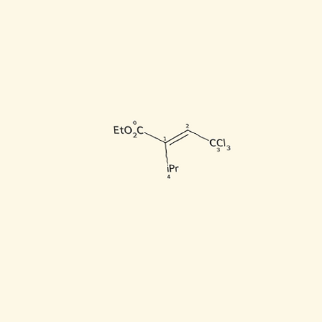 CCOC(=O)C(=CC(Cl)(Cl)Cl)C(C)C